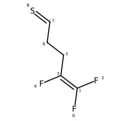 FC(F)=C(F)CC[C]=S